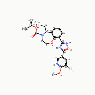 C=C(C)OC(=O)N1CCOc2c(-c3noc(-c4cnc(OC(C)C)c(Cl)c4)n3)cccc2C1CC(=O)OCC